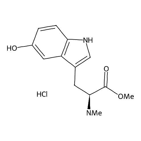 CN[C@@H](Cc1c[nH]c2ccc(O)cc12)C(=O)OC.Cl